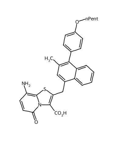 CCCCCOc1ccc(-c2c(C)cc(Cc3sc4c(N)ccc(=O)n4c3C(=O)O)c3ccccc23)cc1